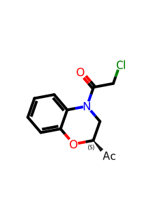 CC(=O)[C@@H]1CN(C(=O)CCl)c2ccccc2O1